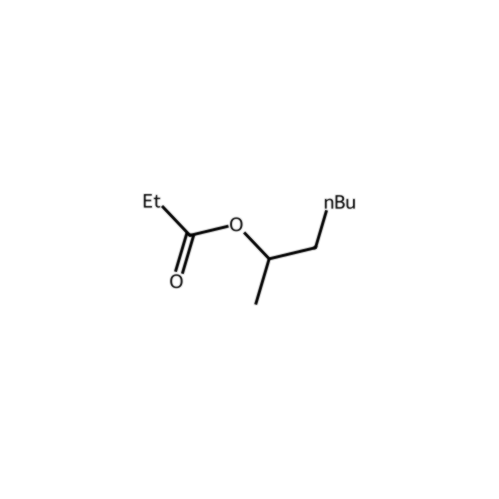 CCCCCC(C)OC(=O)CC